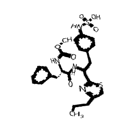 CCCc1csc(C(Cc2ccc(NS(=O)(=O)O)cc2)NC(=O)[C@H](Cc2ccccc2)NC(=O)OC)n1